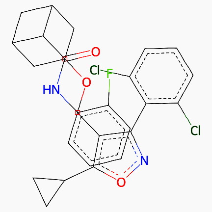 O=C(Nc1ccccc1F)C1C2CC(OCc3c(-c4c(Cl)cccc4Cl)noc3C3CC3)CC1C2